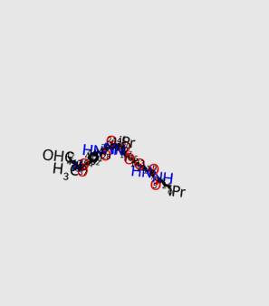 CC(C)CCCC(=O)NCC(=O)NCCOCCOCCC(=O)NC(C(=O)NCC(=O)Nc1ccc(COC(=O)N(C)CCC=O)cc1)C(C)C